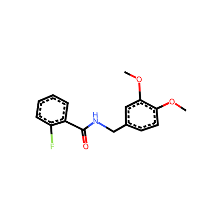 COc1ccc(CNC(=O)c2ccccc2F)cc1OC